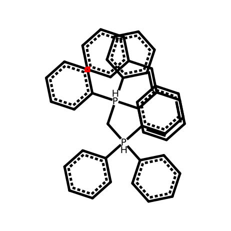 C1=CC(=Cc2ccccc2)C([PH](C[PH](c2ccccc2)(c2ccccc2)c2ccccc2)(c2ccccc2)c2ccccc2)C=C1